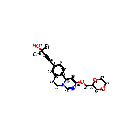 CCC(O)(C#Cc1ccc2c(c1)CCN1C=NC(OCC3COCCO3)=CC21)CC